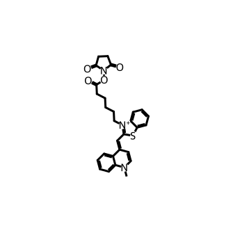 CN1C=CC(=Cc2sc3ccccc3[n+]2CCCCCC(=O)ON2C(=O)CCC2=O)c2ccccc21